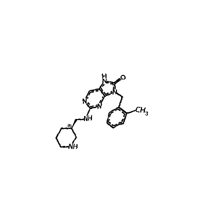 Cc1ccccc1Cn1c(=O)[nH]c2cnc(NC[C@@H]3CCCNC3)nc21